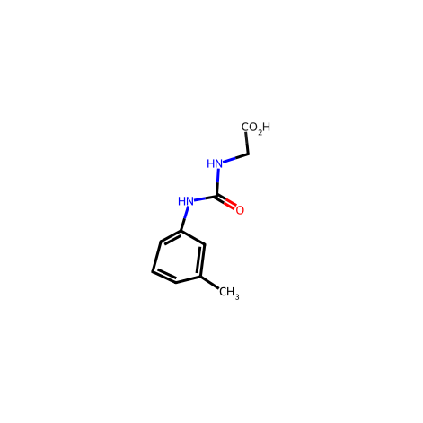 Cc1cccc(NC(=O)NCC(=O)O)c1